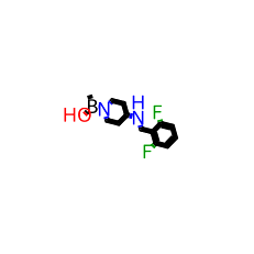 CB(O)N1CCC(NCc2c(F)cccc2F)CC1